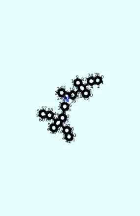 c1ccc2cc(-c3c4ccccc4c(-c4ccc5c(c4)c4ccccc4n5-c4ccc(-c5ccc6c(-c7ccc8ccccc8c7)c7ccccc7c(-c7ccc8ccccc8c7)c6c5)cc4)c4ccccc34)ccc2c1